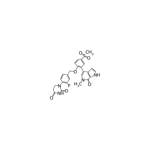 Cn1cc(-c2cc(S(C)(=O)=O)ccc2OCc2ccc(N3CCC(=O)NC3=O)c(F)c2)c2cc[nH]c2c1=O